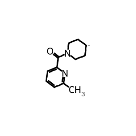 Cc1cccc(C(=O)N2CC[CH]CC2)n1